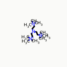 C[N+](C)(C)CCN(CC[N+](C)(C)C)CC[N+](C)(C)C